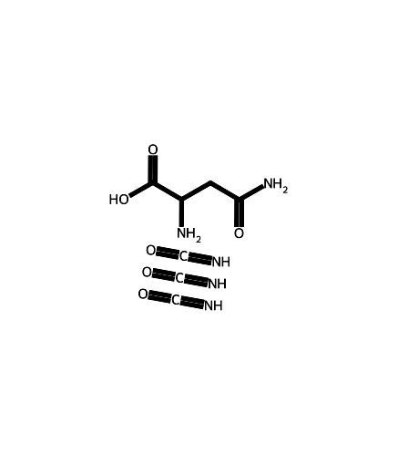 N=C=O.N=C=O.N=C=O.NC(=O)CC(N)C(=O)O